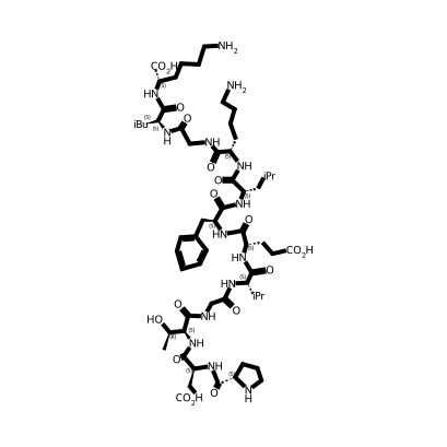 CC[C@H](C)[C@H](NC(=O)CNC(=O)[C@H](CCCCN)NC(=O)[C@H](CC(C)C)NC(=O)[C@H](Cc1ccccc1)NC(=O)[C@H](CCC(=O)O)NC(=O)[C@@H](NC(=O)CNC(=O)[C@@H](NC(=O)[C@H](CC(=O)O)NC(=O)[C@@H]1CCCN1)[C@@H](C)O)C(C)C)C(=O)N[C@@H](CCCCN)C(=O)O